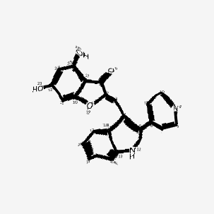 O=C1/C(=C/c2c(-c3ccncc3)[nH]c3ccccc23)Oc2cc(O)cc(O)c21